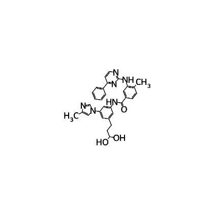 Cc1cn(-c2cc(CCC(O)O)cc(NC(=O)c3ccc(C)c(Nc4nccc(-c5ccccc5)n4)c3)c2)cn1